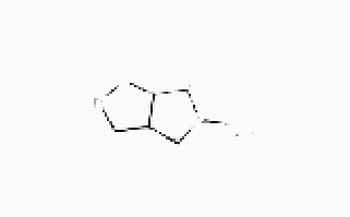 O=C(O)N1CC2CNOC2C1